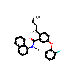 CCN(C(=O)c1cc(Oc2ccccc2F)ccc1[C@H](C)CCC(=O)O)c1cccc2ccccc12